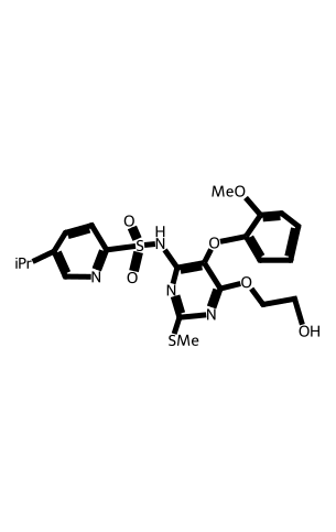 COc1ccccc1Oc1c(NS(=O)(=O)c2ccc(C(C)C)cn2)nc(SC)nc1OCCO